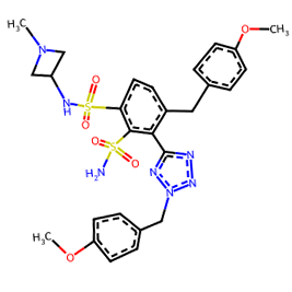 COc1ccc(Cc2ccc(S(=O)(=O)NC3CN(C)C3)c(S(N)(=O)=O)c2-c2nnn(Cc3ccc(OC)cc3)n2)cc1